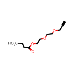 C#CCOCCOCCOC(=O)CCC(=O)O